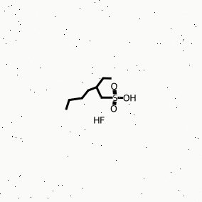 CCCCC(CC)CS(=O)(=O)O.F